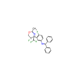 CC1=N[C@@](c2cc(N=C(c3ccccc3)c3ccccc3)ccc2F)(C(F)F)[C@H](F)CO1